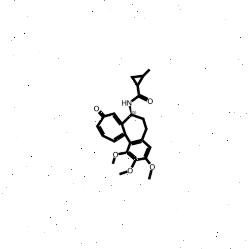 COc1cc2c(c(OC)c1OC)-c1cccc(=O)cc1[C@@H](NC(=O)C1CC1C)CC2